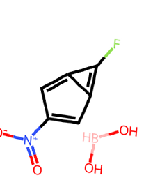 O=[N+]([O-])c1cc2c(F)c-2c1.OBO